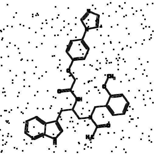 COc1ccccc1CN(CC(Cc1c[nH]c2ccccc12)NC(=O)COc1ccc(-n2ccnc2)cc1)C(C)=O